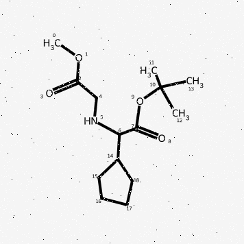 COC(=O)CNC(C(=O)OC(C)(C)C)C1CCCC1